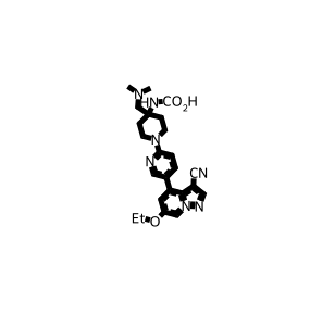 CCOc1cc(-c2ccc(N3CCC(CN(C)C)(NC(=O)O)CC3)nc2)c2c(C#N)cnn2c1